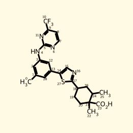 Cc1cc(Nc2nccc(C(F)(F)F)n2)cc(-c2cnc(C3CCC(C)(C(=O)O)C(C)C3)s2)c1